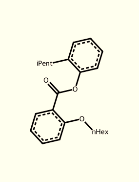 CCCCCCOc1ccccc1C(=O)Oc1ccccc1C(C)CCC